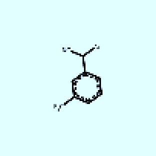 CC(=O)C(C#N)c1cccc(C(F)(F)F)c1